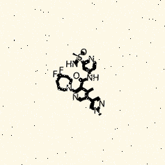 Cc1c(-c2cnn(C)c2)cnc(N2CCCC(F)(F)CC2)c1C(=O)Nc1ccnc([S@](C)(=N)=O)c1